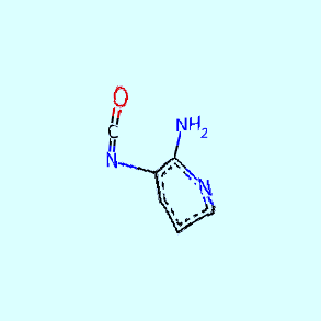 Nc1ncccc1N=C=O